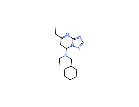 CCC1=Nc2ncnn2C(N(CC)CC2CCCCC2)C1